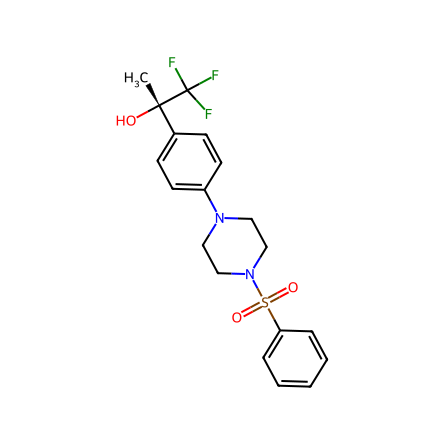 C[C@](O)(c1ccc(N2CCN(S(=O)(=O)c3ccccc3)CC2)cc1)C(F)(F)F